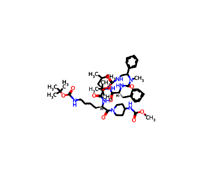 COC(=O)NC1CCN(C(=O)[C@@H](CCCCNC(=O)OC(C)(C)C)NC(=O)[C@@H](CC(C)C)NC(=O)[C@@H](Cc2ccccc2)NC(=O)N(C)C(CNC(=O)OC(C)(C)C)c2ccccc2)CC1